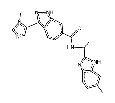 Cc1ccc2nc(C(C)NC(=O)c3ccc4c(-c5cncn5C)n[nH]c4c3)[nH]c2c1